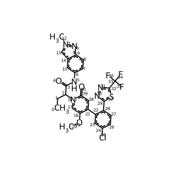 CCC(C(=O)Nc1ccc2nn(C)cc2c1)n1cc(OC)c(-c2cc(Cl)ccc2-c2nnc(C(F)(F)F)s2)cc1=O